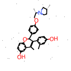 CC1=C(c2ccc(O)cc2C)C(c2ccc(OC[C@H](C)N3CC[C@@H](C)C3)cc2)Oc2ccc(O)cc21